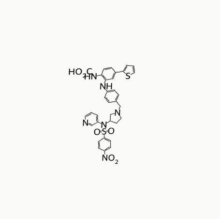 O=C(O)Nc1ccc(-c2cccs2)cc1Nc1ccc(CN2CCC(N(c3cccnc3)S(=O)(=O)c3ccc([N+](=O)[O-])cc3)C2)cc1